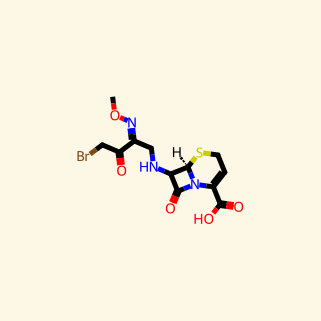 CO/N=C(/CNC1C(=O)N2C(C(=O)O)=CCS[C@H]12)C(=O)CBr